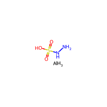 NNS(=O)(=O)O.[AlH3]